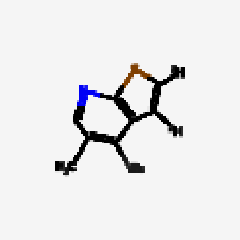 [2H]c1sc2ncc(C)c(C(C)(C)C)c2c1[2H]